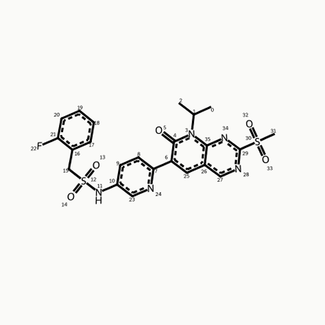 CC(C)n1c(=O)c(-c2ccc(NS(=O)(=O)Cc3ccccc3F)cn2)cc2cnc(S(C)(=O)=O)nc21